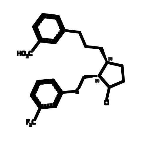 O=C(O)c1cccc(CCC[C@H]2CCC(Cl)[C@@H]2CSc2cccc(C(F)(F)F)c2)c1